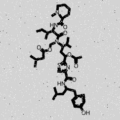 CCC(C)C(NC(=O)C1CCCCN1C)C(=O)N(COC(=O)CC(C)C)C(CC(OC(C)=O)c1nc(C(=O)NC(Cc2ccc(O)cc2)CC(C)C)cs1)C(C)C